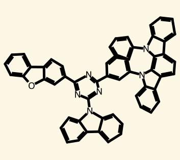 c1ccc(-n2c3ccccc3c3ccc4c5ccccc5n(-c5cccc(-c6nc(-c7ccc8c(c7)oc7ccccc78)nc(-n7c8ccccc8c8ccccc87)n6)c5)c4c32)cc1